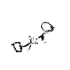 O=C(NNS(=O)(=O)c1ccccc1)N1CCCCC1